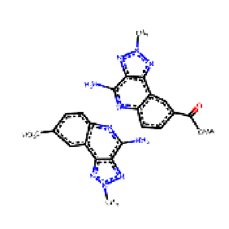 COC(=O)c1ccc2nc(N)c3nn(C)nc3c2c1.Cn1nc2c(N)nc3ccc(C(=O)O)cc3c2n1